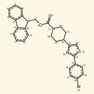 O=C(OCC1c2ccccc2-c2ccccc21)N1CCC(c2csc(-c3ccc(Br)cc3)n2)CC1